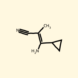 C/C(C#N)=C(/N)C1CC1